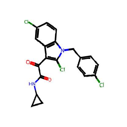 O=C(NC1CC1)C(=O)c1c(Cl)n(Cc2ccc(Cl)cc2)c2ccc(Cl)cc12